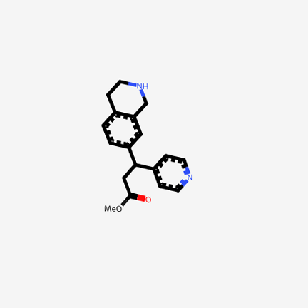 COC(=O)CC(c1ccncc1)c1ccc2c(c1)CNCC2